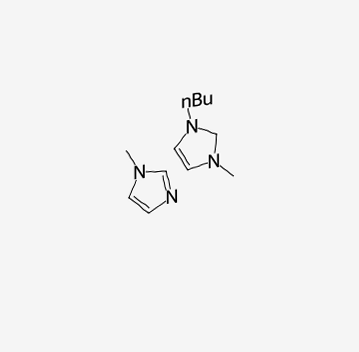 CCCCN1C=CN(C)C1.Cn1ccnc1